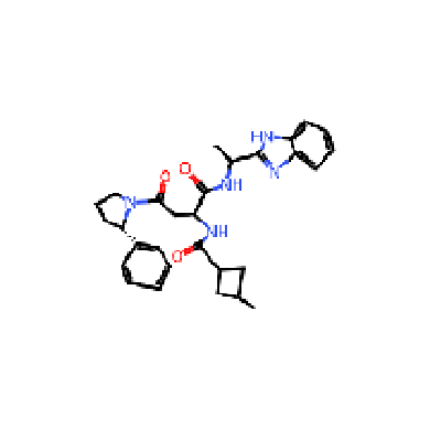 CC1CC(C(=O)N[C@@H](CC(=O)N2CCC[C@H]2c2ccccc2)C(=O)NC(C)c2nc3ccccc3[nH]2)C1